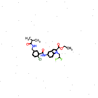 CCOC(=O)c1cc2cc(NC(=O)c3cc(CNC(=O)C(C)C)ccc3Cl)ccc2n1CC(F)F